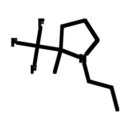 CCCN1CCCC1(C)C(F)(F)F